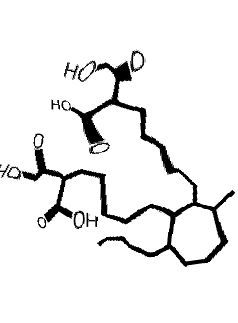 CCCC1CCCC(C)C(CCCCCC(C(=O)O)C(=O)O)C1CCCCCC(C(=O)O)C(=O)O